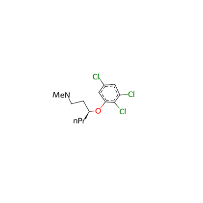 CCC[C@@H](CCNC)Oc1cc(Cl)cc(Cl)c1Cl